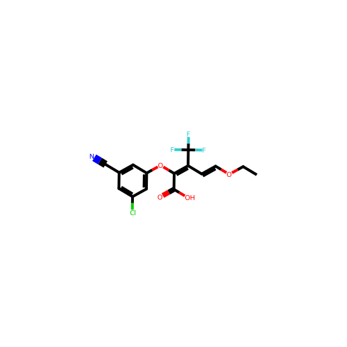 CCOC=CC(=C(Oc1cc(Cl)cc(C#N)c1)C(=O)O)C(F)(F)F